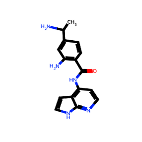 CC(N)c1ccc(C(=O)Nc2ccnc3[nH]ccc23)c(N)c1